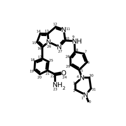 CN1CCN(c2ccc(Nc3ncc4ccc(-c5cccc(C(N)=O)c5)n4n3)cc2)CC1